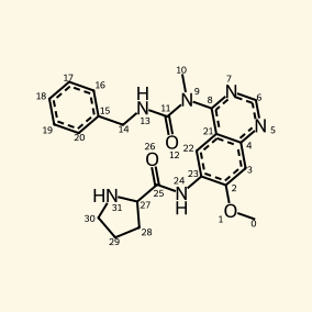 COc1cc2ncnc(N(C)C(=O)NCc3ccccc3)c2cc1NC(=O)C1CCCN1